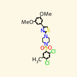 COc1cc(OC)cc(-c2csc(N3CCN(S(=O)(=O)c4cc(C)c(Cl)cc4Cl)CC3)n2)c1